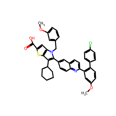 COc1cccc(Cn2c(-c3ccc4nc(-c5cc(OC)ccc5-c5ccc(Cl)cc5)ccc4c3)c(C3CCCCC3)c3sc(C(=O)O)cc32)c1